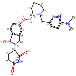 CCN(CC)c1ccc(CN2CCCC[C@H]2COc2ccc3c(c2)CN(C2CCC(=O)NC2=O)C3=O)cn1